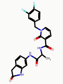 CC(NC(=O)c1cccn(Cc2ccc(F)c(F)c2)c1=O)C(=O)Nc1ccc2c(c1)NC(=O)C2